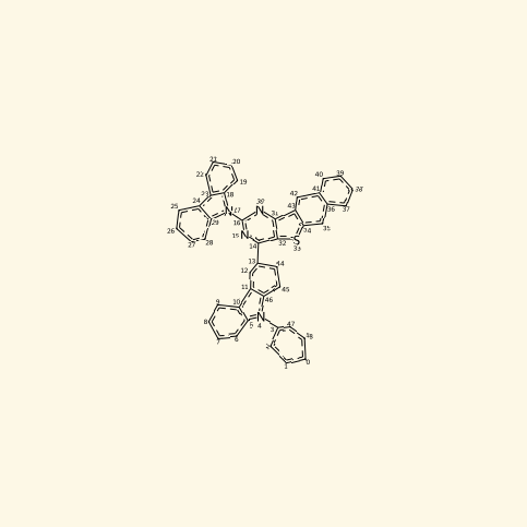 c1ccc(-n2c3ccccc3c3cc(-c4nc(-n5c6ccccc6c6ccccc65)nc5c4sc4cc6ccccc6cc45)ccc32)cc1